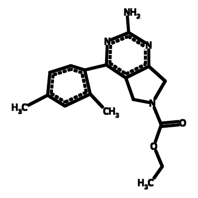 CCOC(=O)N1Cc2nc(N)nc(-c3ccc(C)cc3C)c2C1